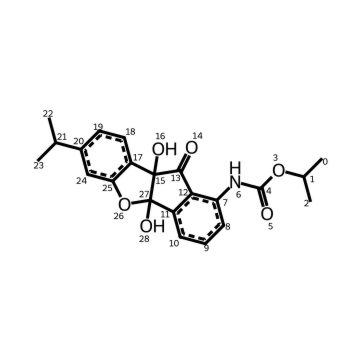 CC(C)OC(=O)Nc1cccc2c1C(=O)C1(O)c3ccc(C(C)C)cc3OC21O